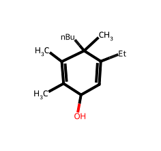 CCCCC1(C)C(CC)=CC(O)C(C)=C1C